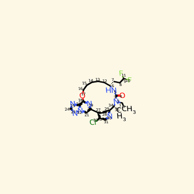 CCN1C(=O)N[C@@H](CCC(F)F)CCCCCOc2nc(cn3ncnc23)-c2cc(ncc2Cl)[C@H]1C